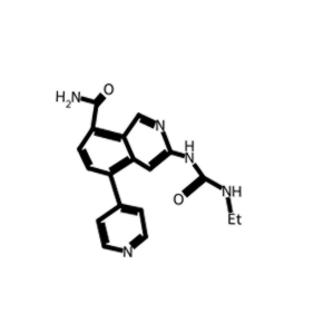 CCNC(=O)Nc1cc2c(-c3ccncc3)ccc(C(N)=O)c2cn1